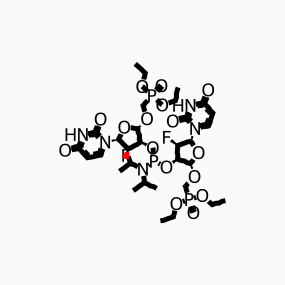 CCOP(=O)(CO[C@H]1O[C@@H](n2ccc(=O)[nH]c2=O)[C@H](F)[C@@H]1OP(O[C@@H]1[C@@H](OCP(=O)(OCC)OCC)O[C@@H](n2ccc(=O)[nH]c2=O)[C@@H]1F)N(C(C)C)C(C)C)OCC